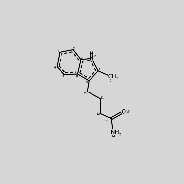 Cc1[nH]c2ccccc2c1CCCC(N)=O